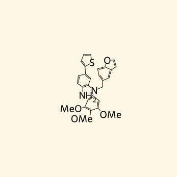 COc1cc(N(Cc2ccc3occc3c2)c2cc(-c3cccs3)ccc2N)cc(OC)c1OC